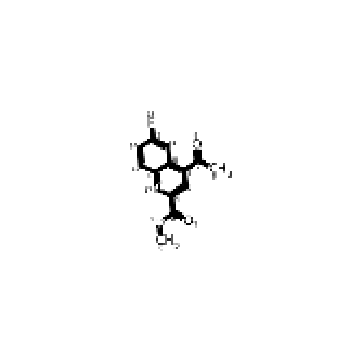 COC(=O)c1cc(C(C)=O)c2cc(F)ccc2n1